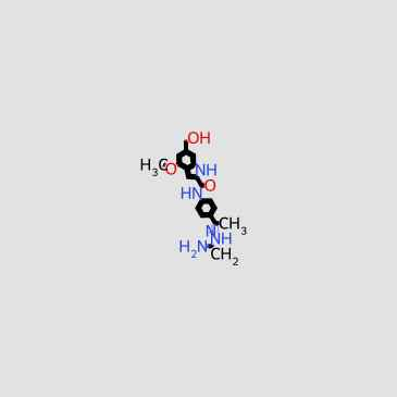 C=C(N)N/N=C(\C)c1ccc(NC(=O)c2cc3c(OC)cc(CO)cc3[nH]2)cc1